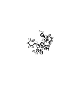 CCOC(=O)CN1C(=O)[C@@H](N[C@@H](COCc2ccccc2)C(=O)OCC)CCc2ccccc21